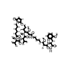 CC[C@H](C)C(C(CC(=O)NCCCC[C@H](OC)[C@@H](C)C(=O)N[C@@H](Cc1ccccc1OC)C(=O)O)OC)N(C)C(=O)[C@@H](NC(=O)C(C(C)C)N(C)C(=O)CCCCCN1C(=O)C=CC1=O)C(C)C